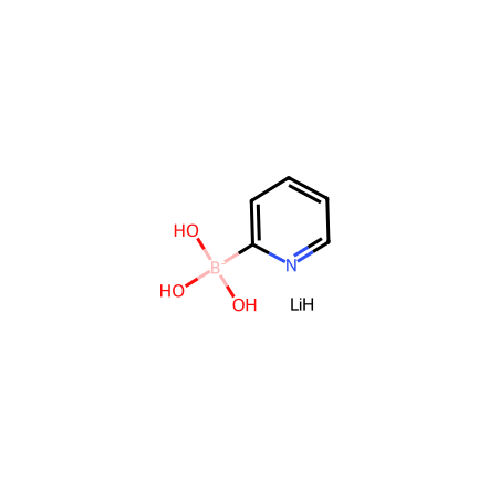 O[B-](O)(O)c1ccccn1.[LiH]